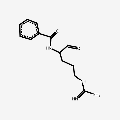 N=C(N)NCCCC([C]=O)NC(=O)c1ccccc1